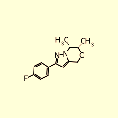 C[C@@H]1OCc2cc(-c3ccc(F)cc3)nn2[C@@H]1C